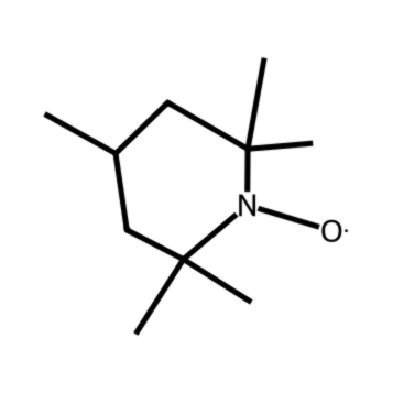 CC1CC(C)(C)N([O])C(C)(C)C1